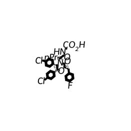 CCC[C@@H](C(=O)NCC(=O)O)N1C(=O)[C@@H](Cc2ccc(F)cc2)O[C@H](c2ccc(Cl)cc2)[C@@H]1c1ccc(Cl)cc1